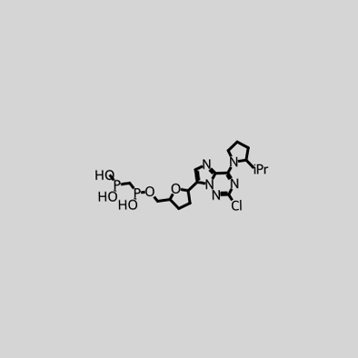 CC(C)C1CCCN1c1nc(Cl)nn2c(C3CCC(COP(O)CP(O)O)O3)cnc12